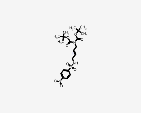 CC(C)(C)OC(=O)N(C/C=C/CNS(=O)(=O)c1ccc([N+](=O)[O-])cc1)C(=O)OC(C)(C)C